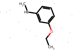 CBc1cccc(OCC)c1